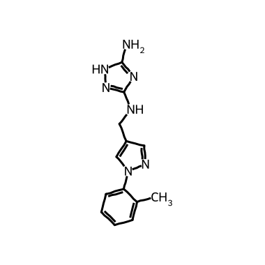 Cc1ccccc1-n1cc(CNc2n[nH]c(N)n2)cn1